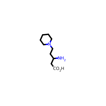 NC(CCN1CCCCC1)CC(=O)O